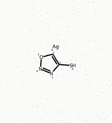 Sc1conn1.[Ag]